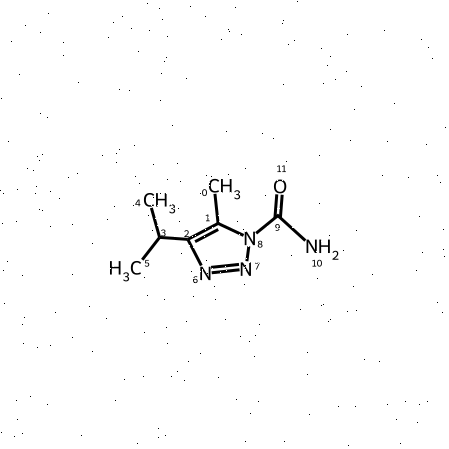 Cc1c(C(C)C)nnn1C(N)=O